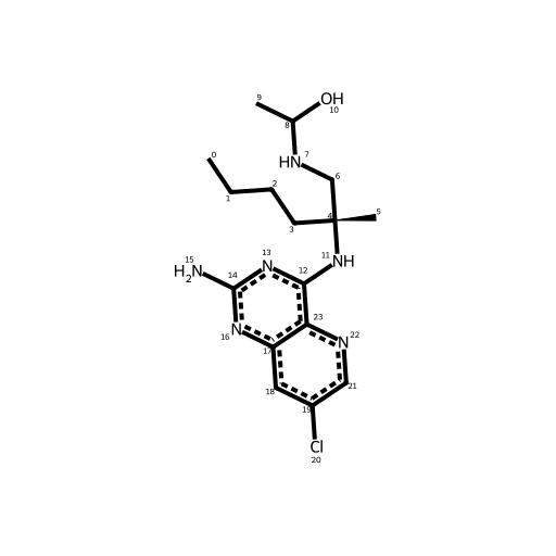 CCCC[C@](C)(CNC(C)O)Nc1nc(N)nc2cc(Cl)cnc12